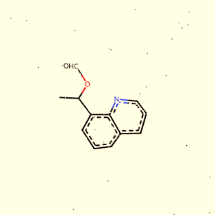 CC(O[C]=O)c1cccc2cccnc12